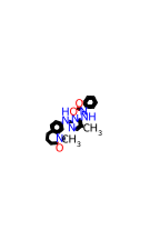 Cc1cnc(Nc2ccc3c(c2)N(C)C(=O)CCC3)nc1Nn1c(=O)oc2ccccc21